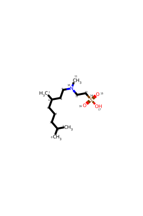 CC(C)CCCC(C)CCN(C)CCS(=O)(=O)O